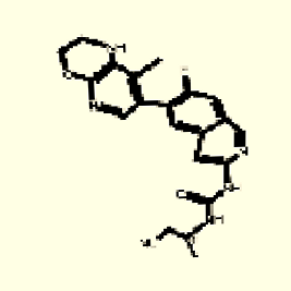 Cc1c(-c2cc3cc(NC(=O)N[C@@H](C)CC#N)ncc3cc2F)cnc2c1NCCO2